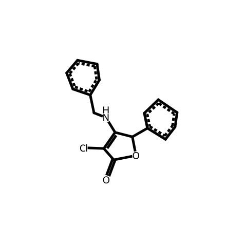 O=C1OC(c2ccccc2)C(NCc2ccccc2)=C1Cl